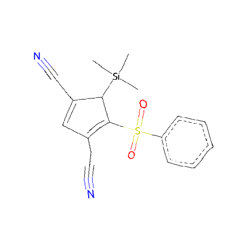 C[Si](C)(C)C1C(C#N)=CC(C#N)=C1S(=O)(=O)c1ccccc1